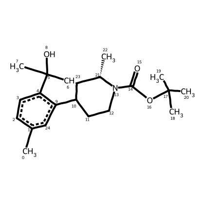 Cc1ccc(C(C)(C)O)c(C2CCN(C(=O)OC(C)(C)C)[C@@H](C)C2)c1